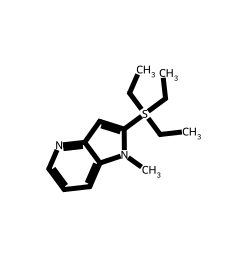 CCS(CC)(CC)c1cc2ncccc2n1C